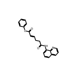 O=C(CC/C=C/C(=O)Oc1ccccc1)Nc1cccc2cccnc12